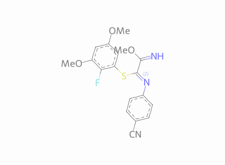 COC(=N)/C(=N/c1ccc(C#N)cc1)Sc1cc(OC)cc(OC)c1F